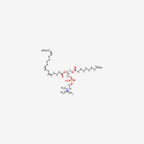 CCCCC/C=C\CCCC/C=C\C/C=C\CCCC(=O)O[C@H](COC(=O)CCCCCCCCCCCCCCCCC)COP(=O)(O)OCC[N+](C)(C)C